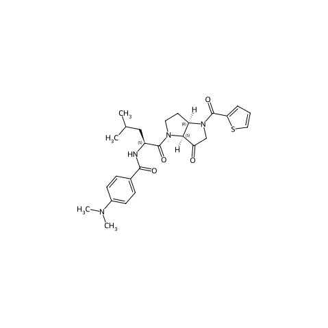 CC(C)C[C@H](NC(=O)c1ccc(N(C)C)cc1)C(=O)N1CC[C@@H]2[C@H]1C(=O)CN2C(=O)c1cccs1